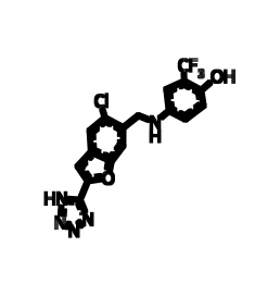 Oc1ccc(NCc2cc3oc(-c4nnn[nH]4)cc3cc2Cl)cc1C(F)(F)F